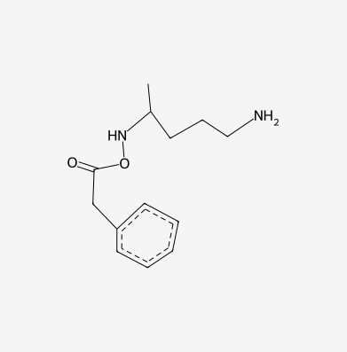 CC(CCCN)NOC(=O)Cc1ccccc1